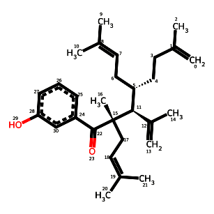 C=C(C)CC[C@@H](CC=C(C)C)[C@@H](C(=C)C)[C@](C)(CC=C(C)C)C(=O)c1cccc(O)c1